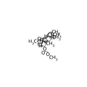 C=C(C)[C@@H]1CC[C@]2(COC(=O)COCC)CC[C@]3(C)[C@H](CC[C@@H]4[C@@]5(C)CC[C@H](C)C(C)(C)[C@@H]5CC[C@]43C)[C@@H]12